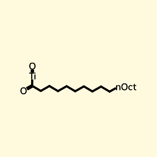 CCCCCCCCCCCCCCCCC[C](=O)[Ti]=[O]